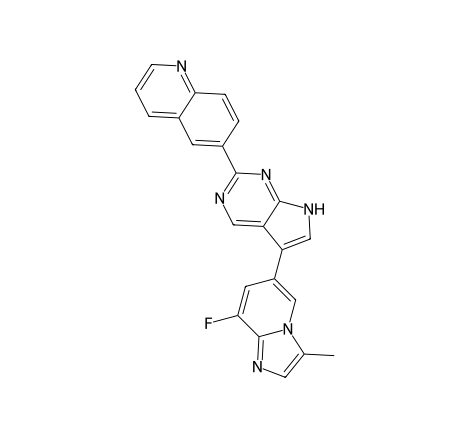 Cc1cnc2c(F)cc(-c3c[nH]c4nc(-c5ccc6ncccc6c5)ncc34)cn12